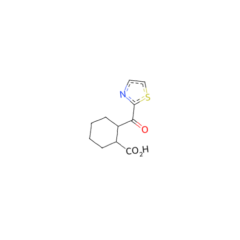 O=C(O)C1CCCCC1C(=O)c1nccs1